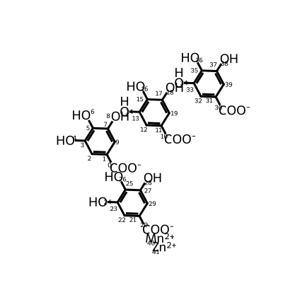 O=C([O-])c1cc(O)c(O)c(O)c1.O=C([O-])c1cc(O)c(O)c(O)c1.O=C([O-])c1cc(O)c(O)c(O)c1.O=C([O-])c1cc(O)c(O)c(O)c1.[Mn+2].[Zn+2]